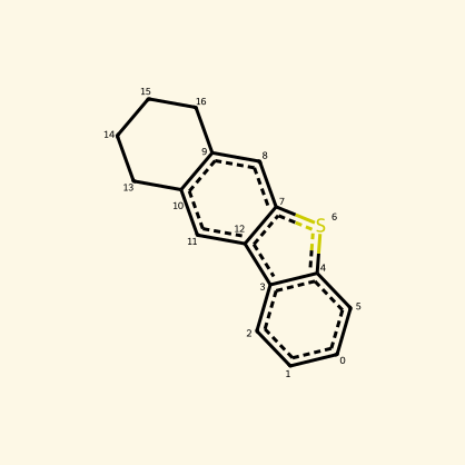 c1ccc2c(c1)sc1cc3c(cc12)CCCC3